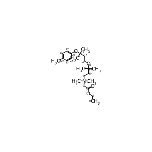 CCOC(=O)C[N+](C)(C)CCC(C)(C)OCCC(C)(C)Oc1ccc(C)cc1